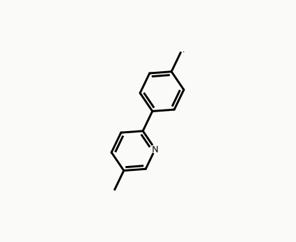 [CH2]c1ccc(-c2ccc(C)cn2)cc1